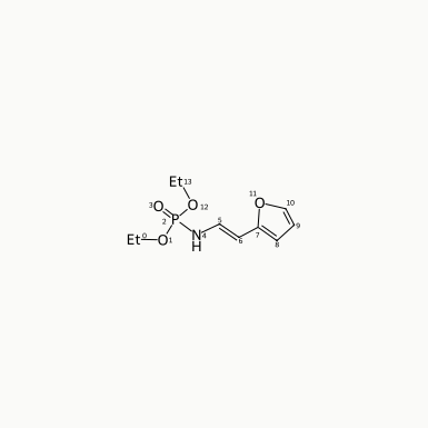 CCOP(=O)(NC=Cc1ccco1)OCC